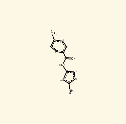 CC(=O)Oc1ccc(C(=O)Nc2ncc(N)s2)cc1